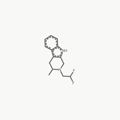 CC1Cc2c([nH]c3ccccc23)CN1CC(F)F